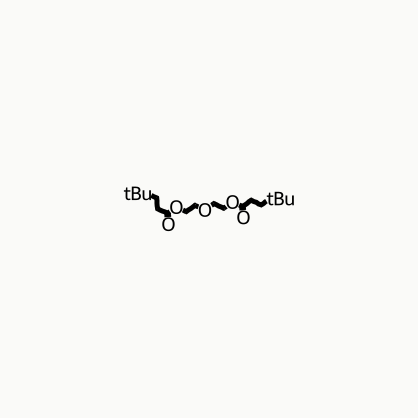 CC(C)(C)CCC(=O)OCCOCCOC(=O)CCC(C)(C)C